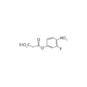 CCOC(=O)CC(=O)Oc1ccc([N+](=O)[O-])c(F)c1